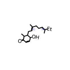 CC/C(C)=C/CC/C(C)=C/CC1C(O)C=CC(=O)C1C